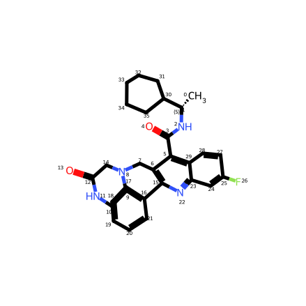 C[C@H](NC(=O)c1c(CN2CCNC(=O)C2)c(-c2ccccc2)nc2cc(F)ccc12)C1CCCCC1